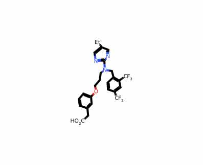 CCc1cnc(N(CCCOc2cccc(CC(=O)O)c2)Cc2ccc(C(F)(F)F)cc2C(F)(F)F)nc1